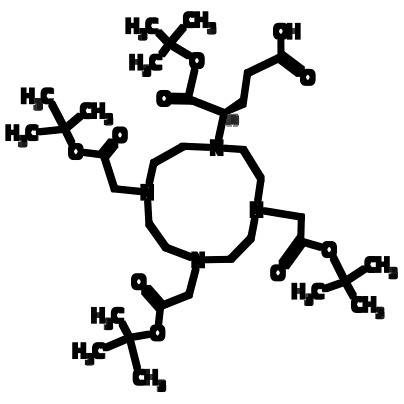 CC(C)(C)OC(=O)CN1CCN(CC(=O)OC(C)(C)C)CCN([C@H](CCC(=O)O)C(=O)OC(C)(C)C)CCN(CC(=O)OC(C)(C)C)CC1